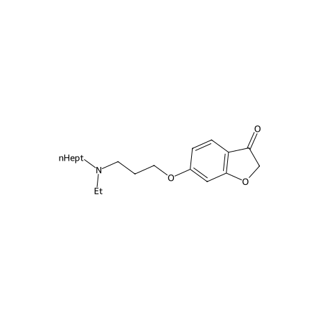 CCCCCCCN(CC)CCCOc1ccc2c(c1)OCC2=O